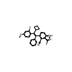 COc1ccc(/C(=C(\c2[c]cccc2)c2ccc3[nH]nc(F)c3c2C#N)C2CCC2)c(F)c1